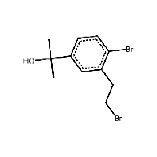 CC(C)(O)c1ccc(Br)c(CCBr)c1